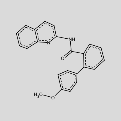 COc1ccc(-c2ccccc2C(=O)Nc2ccc3ccccc3n2)cc1